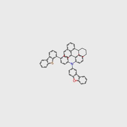 c1ccc(N(c2ccc(-c3cccc4c3sc3ccccc34)cc2)c2ccc3oc4ccccc4c3c2)c(-c2cccc3cccc(C4CCCCC4)c23)c1